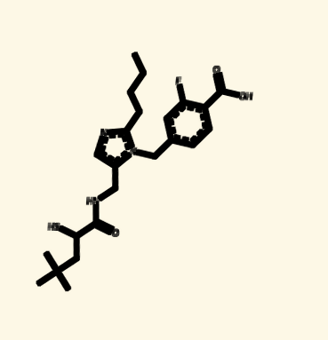 CCCCc1ncc(CNC(=O)C(S)CC(C)(C)C)n1Cc1ccc(C(=O)O)c(F)c1